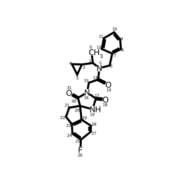 CC(C1CC1)N(Cc1ccccc1)C(=O)CN1C(=O)NC2(CCc3cc(F)ccc32)C1=O